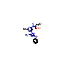 CC(C)C[C@@H](CO)Nc1cc(-n2nc(Nc3ccccc3)nc2N)nc(C#N)n1